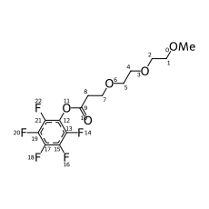 COCCOCCOCCC(=O)Oc1c(F)c(F)c(F)c(F)c1F